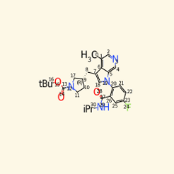 Cc1cncc2c1c(C[C@@H]1CCN(C(=O)OC(C)(C)C)C1)cn2-c1ccc(F)cc1C(=O)NC(C)C